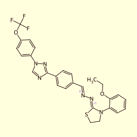 CCOc1ccccc1N1CCS/C1=N\N=C\c1ccc(-c2ncn(-c3ccc(OC(F)(F)F)cc3)n2)cc1